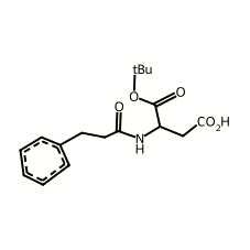 CC(C)(C)OC(=O)C(CC(=O)O)NC(=O)CCc1ccccc1